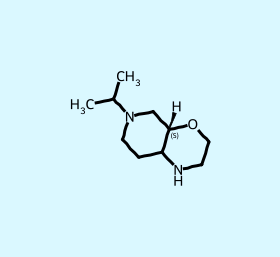 CC(C)N1CCC2NCCO[C@H]2C1